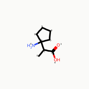 CC(C(=O)O)C1(N)CCCC1